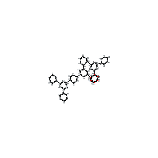 c1ccc(-c2nc(-c3ccccc3)nc(-c3ccc(-c4cc(-c5cccnc5)cc(-c5ccccc5-c5nc(-c6ccccc6)nc(-c6ccccc6)n5)c4)cc3)n2)cc1